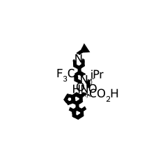 Cc1cccc(C)c1-c1cc([C@@H](CC(=O)O)NC(=O)[C@@H](CC(C)C)n2cc(C3CCN(CC4CC4)CC3)c(C(F)(F)F)cc2=O)cc2c1CCC2